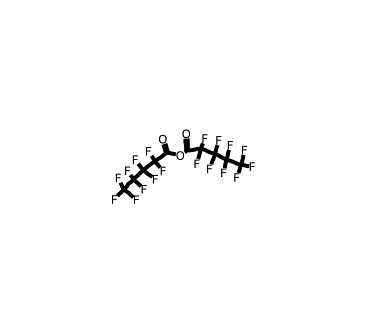 O=C(OC(=O)C(F)(F)C(F)(F)C(F)(F)C(F)(F)F)C(F)(F)C(F)(F)C(F)(F)C(F)(F)F